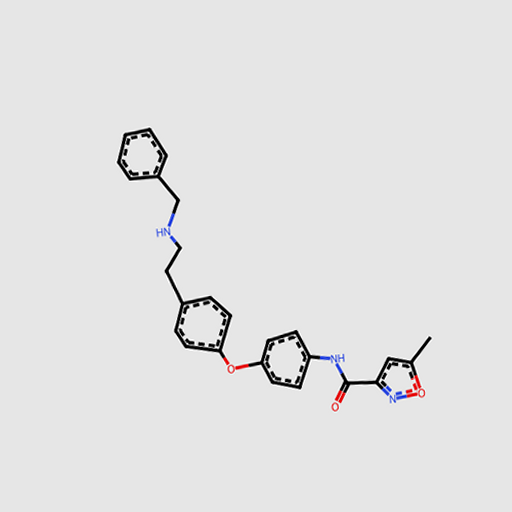 Cc1cc(C(=O)Nc2ccc(Oc3ccc(CCNCc4ccccc4)cc3)cc2)no1